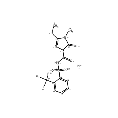 COc1nn(C(=O)NS(=O)(=O)c2ccccc2C(F)(F)F)c(=O)n1C.[Na]